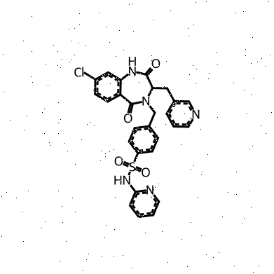 O=C1Nc2cc(Cl)ccc2C(=O)N(Cc2ccc(S(=O)(=O)Nc3ccccn3)cc2)C1Cc1cccnc1